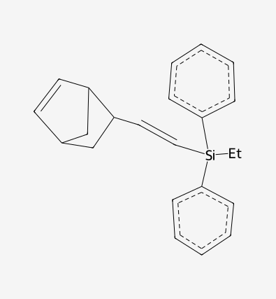 CC[Si](C=CC1CC2C=CC1C2)(c1ccccc1)c1ccccc1